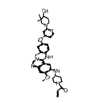 C=CC(=O)N1CCC(Nc2cc3c(Nc4ccc(Oc5ccnc(N6CCC(O)C(C)(C)C6)c5)cc4F)ncnc3cc2OC)CC1